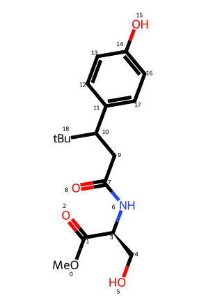 COC(=O)[C@H](CO)NC(=O)CC(c1ccc(O)cc1)C(C)(C)C